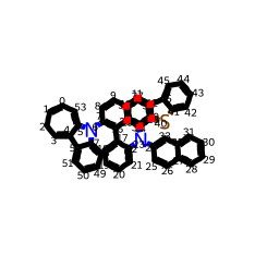 C1=CCC=c2c(n(-c3ccc4ccccc4c3-c3ccccc3N(c3ccc4ccccc4c3)c3cccc4c3sc3ccccc34)c3ccccc23)=C1